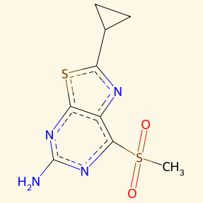 CS(=O)(=O)c1nc(N)nc2sc(C3CC3)nc12